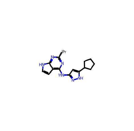 CC(C)c1nc(Nc2cc(C3CCCC3)[nH]n2)c2cc[nH]c2n1